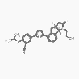 CC(C)Oc1ccc(-c2ccc(-c3cccc4c3C[C@@H]3CC(=O)N(CCO)[C@H]43)s2)cc1C#N